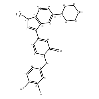 Cn1cc(-c2ccn(Cc3ccc(F)c(I)c3)c(=O)c2)c2cc(N3CCOCC3)cnc21